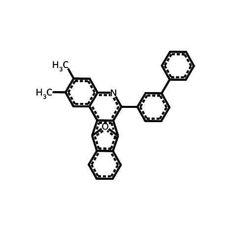 Cc1cc2nc(-c3cccc(-c4ccccc4)c3)c3c4oc(c5ccccc54)c3c2cc1C